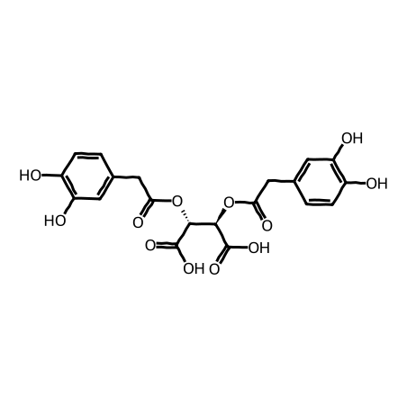 O=C(Cc1ccc(O)c(O)c1)O[C@@H](C(=O)O)[C@@H](OC(=O)Cc1ccc(O)c(O)c1)C(=O)O